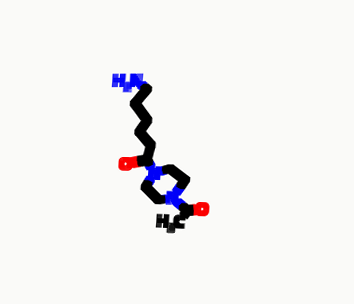 CC(=O)N1CCN(C(=O)CCCCCN)CC1